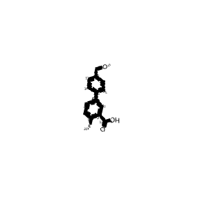 O=Cc1ccc(-c2ccc(F)c(C(=O)O)c2)cc1